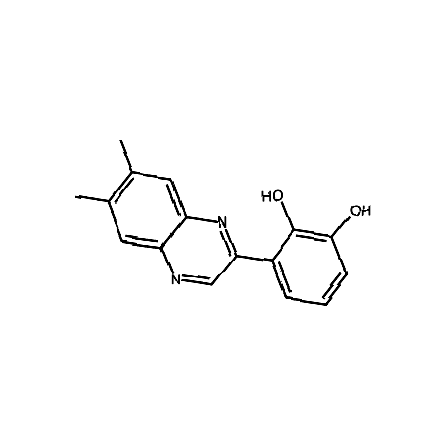 Cc1cc2ncc(-c3cccc(O)c3O)nc2cc1C